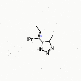 C/C=C(\C(C)C)C1NN=NC1C